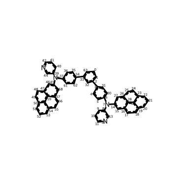 c1cc(-c2ccc(N(c3cccnc3)c3cc4ccc5cccc6ccc(c3)c4c56)cc2)cc(-c2ccc(N(c3cccnc3)c3cc4ccc5cccc6ccc(c3)c4c56)cc2)c1